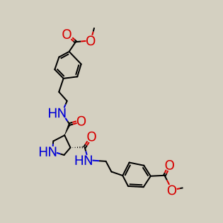 COC(=O)c1ccc(CCNC(=O)[C@@H]2CNC[C@H]2C(=O)NCCc2ccc(C(=O)OC)cc2)cc1